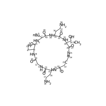 CCCCC1NC(=O)C(CC(C)C)NC(=O)CNC(=O)C(CCN)NC(=O)CCCNC(=O)C([C@@H](C)O)NC(=O)C(CCN)NC1=O